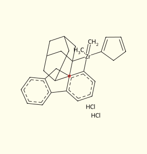 Cl.Cl.[CH2]=[Zr]([CH3])([C]1=CC=CC1)([c]1cccc2c1Cc1ccccc1-2)[C]12CC3CC(CC(C3)C1)C2